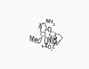 COc1cc2ncc(N)c(Oc3ccc4c(C(=O)O)cccc4c3)c2cc1OC